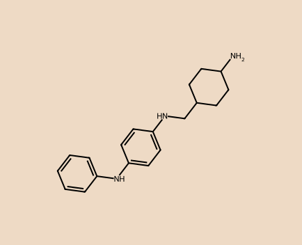 NC1CCC(CNc2ccc(Nc3ccccc3)cc2)CC1